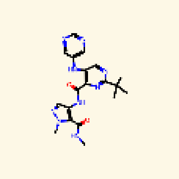 CNC(=O)c1c(NC(=O)c2nc(C(C)(C)C)ncc2Nc2cncnc2)cnn1C